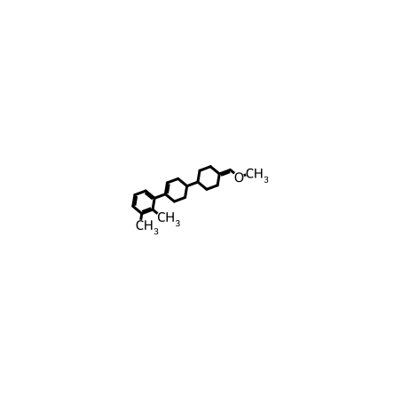 COC=C1CCC(C2CC=C(c3cccc(C)c3C)CC2)CC1